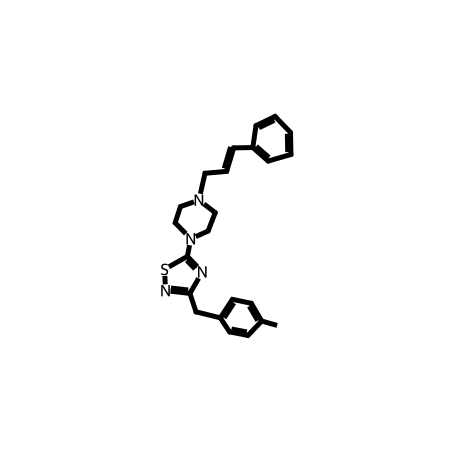 Cc1ccc(Cc2nsc(N3CCN(CC=Cc4ccccc4)CC3)n2)cc1